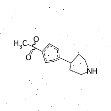 CS(=O)(=O)c1ccc(C2CCNCC2)cc1